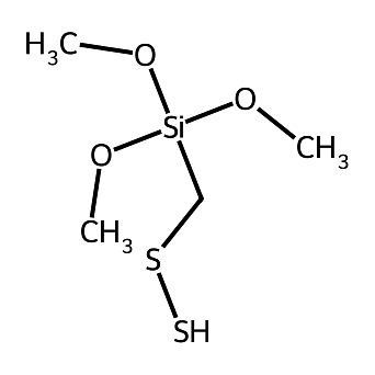 CO[Si](CSS)(OC)OC